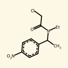 [CH2]CN(C(=O)CCl)C(C)c1ccc([N+](=O)[O-])cc1